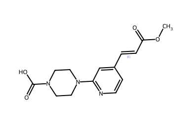 COC(=O)/C=C/c1ccnc(N2CCN(C(=O)O)CC2)c1